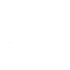 N#CCc1ccc2c(c1)C(=O)CCO2